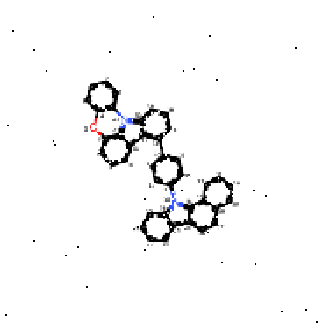 c1ccc2c(c1)Oc1cccc3c4c(-c5ccc(-n6c7ccccc7c7ccc8ccccc8c76)cc5)cccc4n-2c13